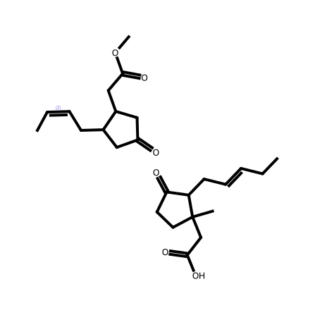 C/C=C\CC1CC(=O)CC1CC(=O)OC.CCC=CCC1C(=O)CCC1(C)CC(=O)O